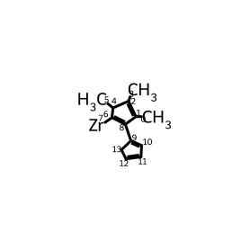 CC1=C(C)C(C)[C]([Zr])=C1C1=CC=CC1